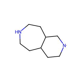 C1CC2CCNCCC2C[N]1